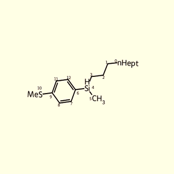 CCCCCCCCCC[SiH](C)c1ccc(SC)cc1